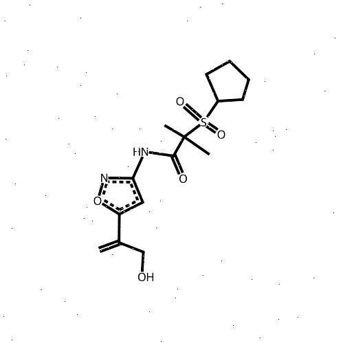 C=C(CO)c1cc(NC(=O)C(C)(C)S(=O)(=O)C2CCCC2)no1